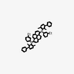 CCc1cccc(N(c2c(C)ccc(-c3ccccc3)c2C)c2ccc3ccc4c(N(C5=CC(CC)CC=C5)c5c(C)ccc(-c6ccccc6)c5C)ccc5ccc2c3c54)c1